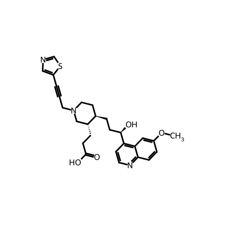 COc1ccc2nccc([C@H](O)CC[C@@H]3CCN(CC#Cc4cncs4)C[C@H]3CCC(=O)O)c2c1